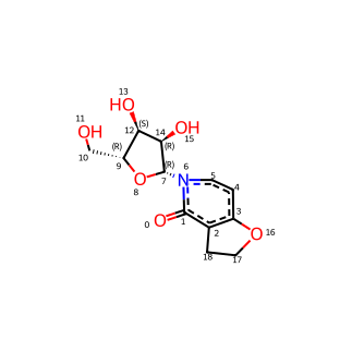 O=c1c2c(ccn1[C@@H]1O[C@H](CO)[C@@H](O)[C@H]1O)OCC2